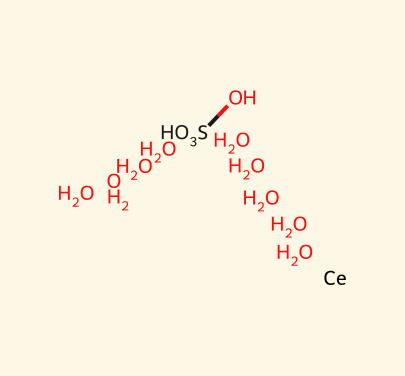 O.O.O.O.O.O.O.O.O.O=S(=O)(O)O.[Ce]